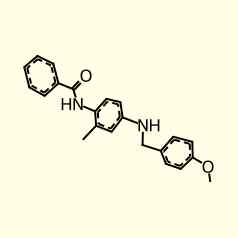 COc1ccc(CNc2ccc(NC(=O)c3ccccc3)c(C)c2)cc1